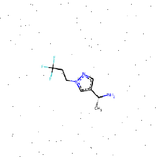 C[C@@H](N)c1cnn(CCC(F)(F)F)c1